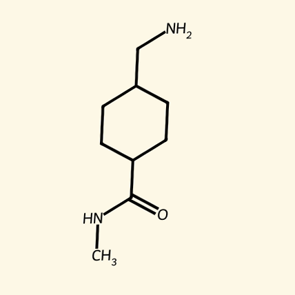 CNC(=O)C1CCC(CN)CC1